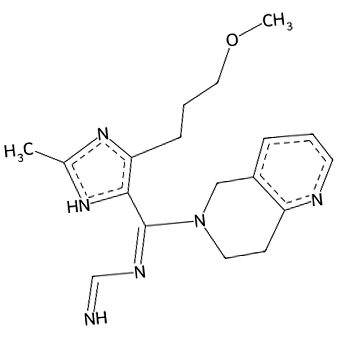 COCCCc1nc(C)[nH]c1/C(=N\C=N)N1CCc2ncccc2C1